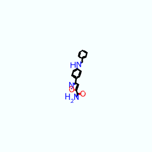 NC(=O)c1cc(-c2ccc(NCc3ccccc3)cc2)no1